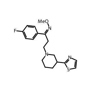 CO/N=C(/CCN1CCCC(c2nccs2)C1)c1ccc(F)cc1